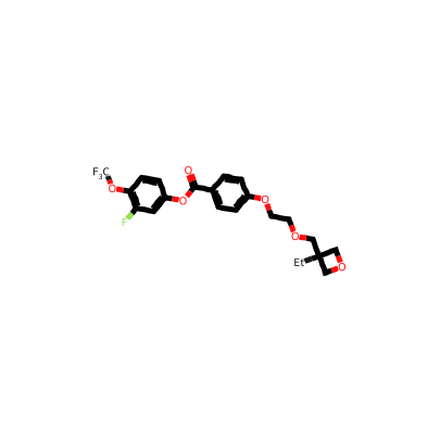 CCC1(COCCOc2ccc(C(=O)Oc3ccc(OC(F)(F)F)c(F)c3)cc2)COC1